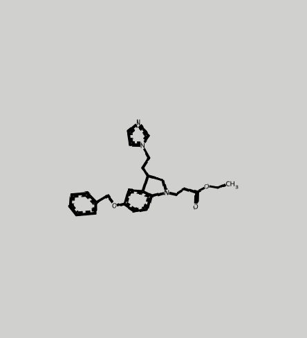 CCOC(=O)CCN1CC(CCn2ccnc2)c2cc(OCc3ccccc3)ccc21